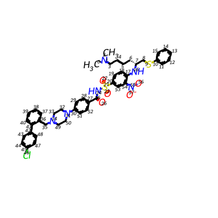 CN(C)CCCC[C@H](CSc1ccccc1)Nc1ccc(S(=O)(=O)NC(=O)c2ccc(N3CCN(Cc4ccccc4-c4ccc(Cl)cc4)CC3)cc2)cc1[N+](=O)[O-]